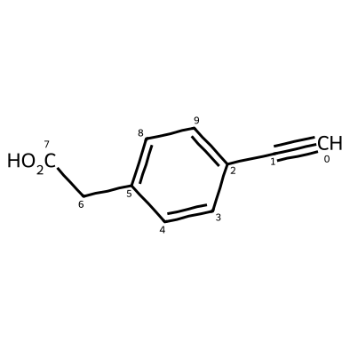 C#Cc1ccc(CC(=O)O)cc1